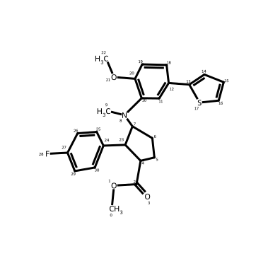 COC(=O)C1CCC(N(C)c2cc(-c3cccs3)ccc2OC)C1c1ccc(F)cc1